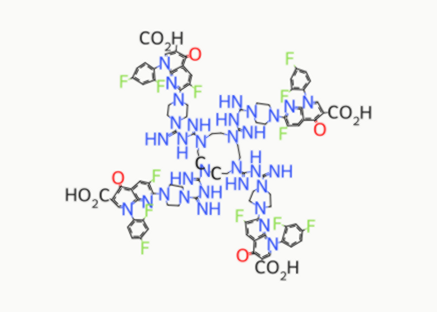 N=C(NC(=N)N1CCN(c2nc3c(cc2F)c(=O)c(C(=O)O)cn3-c2ccc(F)cc2F)CC1)N1CCN(C(=N)NC(=N)N2CCN(c3nc4c(cc3F)c(=O)c(C(=O)O)cn4-c3ccc(F)cc3F)CC2)CCN(C(=N)NC(=N)N2CCN(c3nc4c(cc3F)c(=O)c(C(=O)O)cn4-c3ccc(F)cc3F)CC2)CCN(C(=N)NC(=N)N2CCN(c3nc4c(cc3F)c(=O)c(C(=O)O)cn4-c3ccc(F)cc3F)CC2)CC1